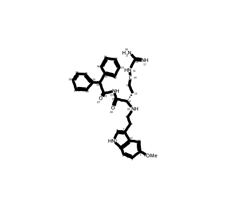 COc1ccc2[nH]cc(CCN[C@@H](CCCNC(=N)N)C(=O)NC(=O)C(c3ccccc3)c3ccccc3)c2c1